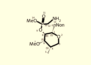 CCCCCCCCC[C@@H]1OC[C@H](C)[C@H](OC)[C@@H]1OP(=O)(CN)OC